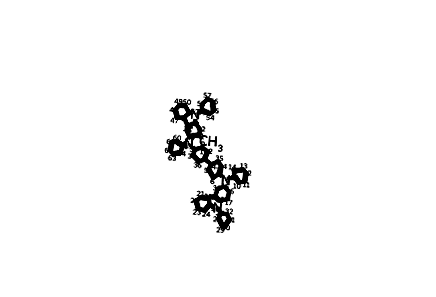 CC1C=C(C2C=CC(N(c3ccccc3)C3CCc4c(c5ccccc5n4C4C=CC=CC4)C3)=CC2)C=CC1N(C1=CCC2C(=C1)C1C=CC=CC1N2C1=CC=CCC1)c1ccccc1